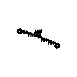 Cl.Cl.Cl.Cl.c1ccc(CNCCCNCCCCCCCNCCCNCc2ccccc2)cc1